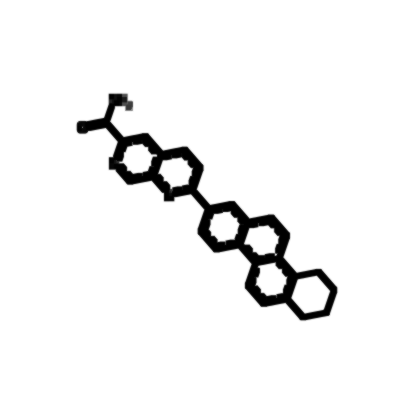 NC(=O)c1cc2ccc(-c3ccc4c(ccc5c6c(ccc54)CCCC6)c3)nc2cn1